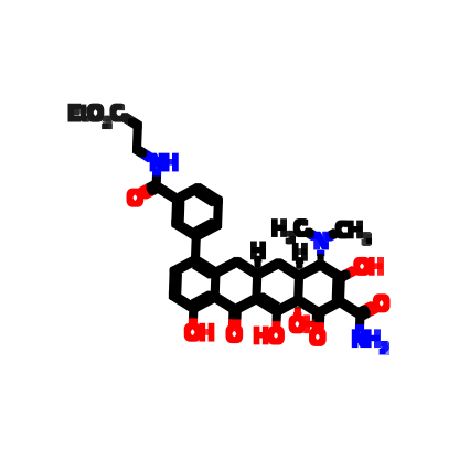 CCOC(=O)CCNC(=O)c1cccc(-c2ccc(O)c3c2C[C@H]2C[C@H]4[C@H](N(C)C)C(O)=C(C(N)=O)C(=O)[C@@]4(O)C(O)=C2C3=O)c1